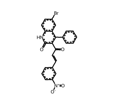 O=C(C=Cc1cccc([N+](=O)[O-])c1)c1c(-c2ccccc2)c2cc(Br)ccc2[nH]c1=O